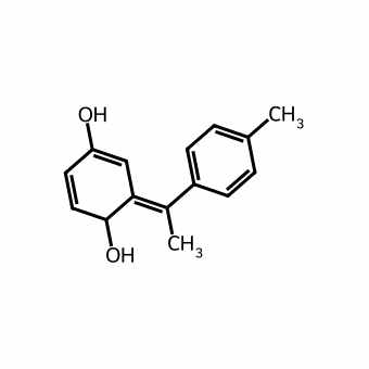 CC(=C1C=C(O)C=CC1O)c1ccc(C)cc1